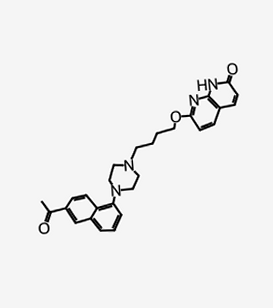 CC(=O)c1ccc2c(N3CCN(CCCCOc4ccc5ccc(=O)[nH]c5n4)CC3)cccc2c1